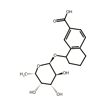 C[C@@H]1O[C@@H](OC2CCCc3ccc(C(=O)O)cc32)[C@@H](O)[C@H](O)[C@@H]1O